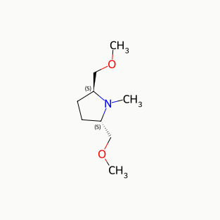 COC[C@@H]1CC[C@@H](COC)N1C